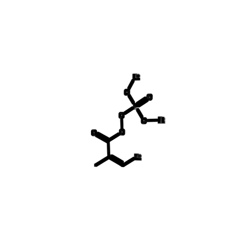 CCC=C(C)C(=O)OOP(=O)(OCC)OCC